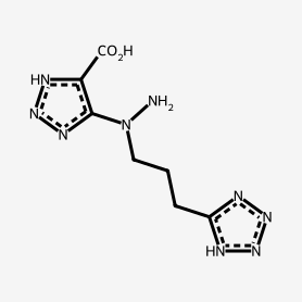 NN(CCCc1nnn[nH]1)c1nn[nH]c1C(=O)O